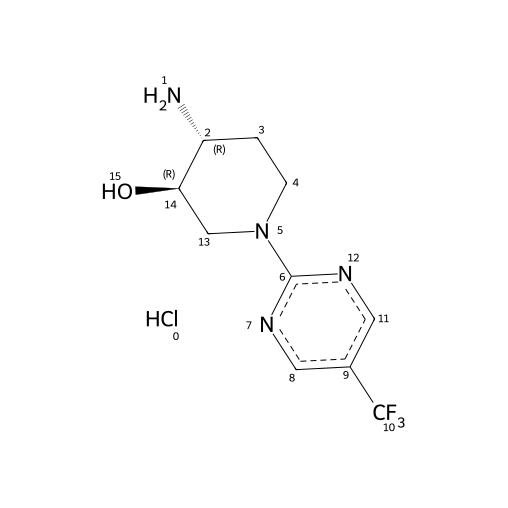 Cl.N[C@@H]1CCN(c2ncc(C(F)(F)F)cn2)C[C@H]1O